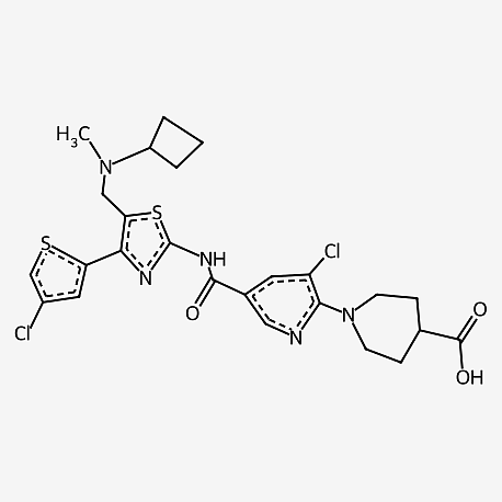 CN(Cc1sc(NC(=O)c2cnc(N3CCC(C(=O)O)CC3)c(Cl)c2)nc1-c1cc(Cl)cs1)C1CCC1